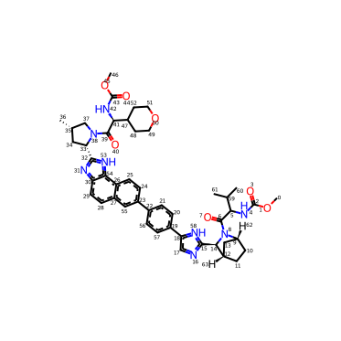 COC(=O)NC(C(=O)N1[C@@H]2CC[C@@H](C2)[C@H]1c1ncc(-c2ccc(-c3ccc4c(ccc5nc([C@@H]6C[C@H](C)CN6C(=O)[C@@H](NC(=O)OC)C6CCOCC6)[nH]c54)c3)cc2)[nH]1)C(C)C